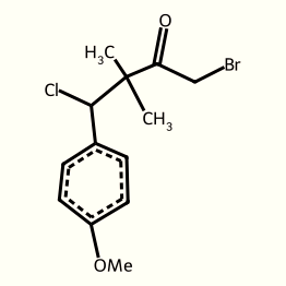 COc1ccc(C(Cl)C(C)(C)C(=O)CBr)cc1